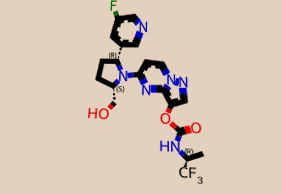 C[C@@H](NC(=O)Oc1cnn2ccc(N3[C@H](CO)CC[C@@H]3c3cncc(F)c3)nc12)C(F)(F)F